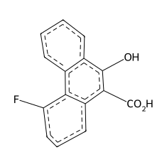 O=C(O)c1c(O)c2ccccc2c2c(F)cccc12